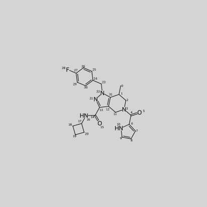 CC1CN(C(=O)c2ccc[nH]2)Cc2c(C(=O)NC3CCC3)nn(Cc3ccc(F)cc3)c21